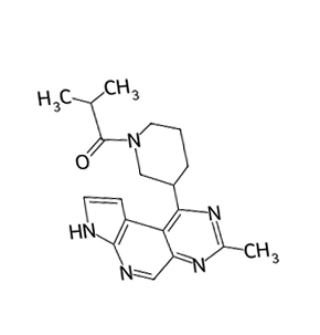 Cc1nc(C2CCCN(C(=O)C(C)C)C2)c2c(cnc3[nH]ccc32)n1